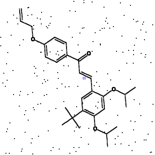 C=CCOc1ccc(C(=O)/C=C/c2cc(C(C)(C)C)c(OC(C)C)cc2OC(C)C)cc1